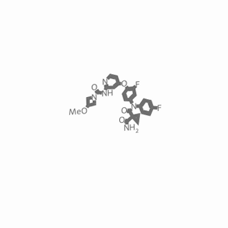 COC1CN(C(=O)Nc2cc(Oc3ccc(N(C(=O)C4(C(N)=O)CC4)c4ccc(F)cc4)cc3F)ccn2)C1